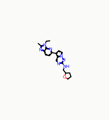 CCn1c(C)nc2ccc(-c3ccn4nc(NCC5CCCO5)ncc34)nc21